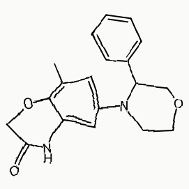 Cc1cc(N2CCOCC2c2ccccc2)cc2c1OCC(=O)N2